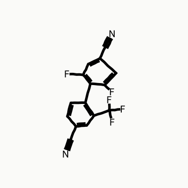 N#Cc1cc(F)c(-c2ccc(C#N)cc2C(F)(F)F)c(F)c1